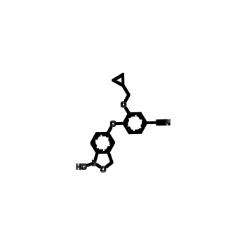 N#Cc1ccc(Oc2ccc3c(c2)COB3O)c(OCC2CC2)c1